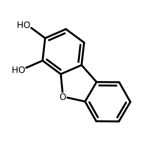 Oc1ccc2c(oc3ccccc32)c1O